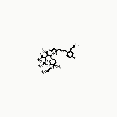 C=CCOC1(C)CCN(c2c(C(OC(C)(C)C)C(=O)O)c(C)nc3cc(COCc4ccc(F)cc4CC=C)nn23)CC1